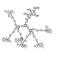 CC(C)(C)OCCOCCOCCOc1cc(COc2cc(COC(=O)CN(CCN(CCN(CC(=O)O)CC(=O)O)CC(=O)O)CC(=O)O)cc(OCc3cc(OCCOCCOCCOC(C)(C)C)c(OCCOCCOCCOC(C)(C)C)c(OCCOCCOCCOC(C)(C)C)c3)c2)cc(OCCOCCOCCOC(C)(C)C)c1OCCOCCOCCOC(C)(C)C